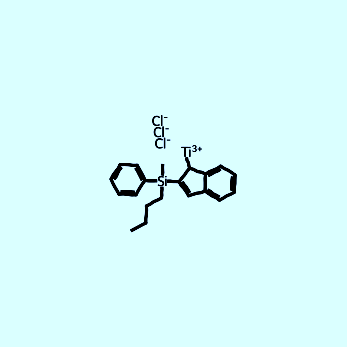 CCCC[Si](C)(C1=Cc2ccccc2[CH]1[Ti+3])c1ccccc1.[Cl-].[Cl-].[Cl-]